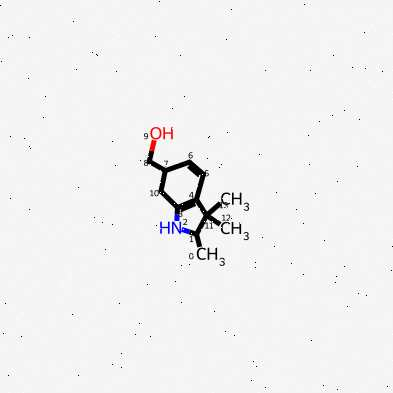 CC1NC2=C(C=CC(CO)C2)C1(C)C